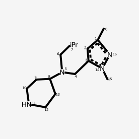 Cc1cc(CN(CC(C)C)C2CCNCC2)n(C)n1